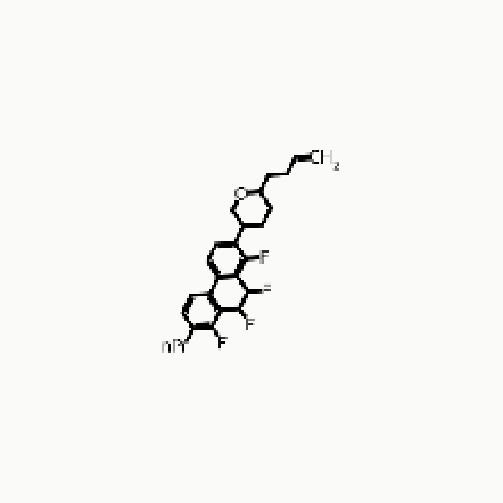 C=CCCC1CCC(c2ccc3c(c2F)C(F)C(F)c2c-3ccc(CCC)c2F)CO1